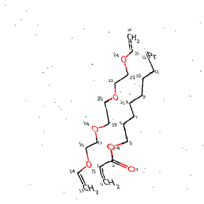 C=CC(=O)OCCCCCCCC(C)C.C=COCCOCCOCCOC=C